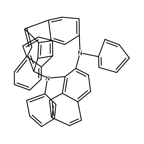 c1ccc(-n2c3ccc(cc3)c3ccc(c4c5c6ccccc6ccc5c34)n(-c3ccccc3)c3c4ccccc4ccc32)cc1